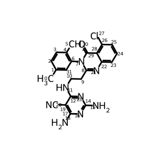 Cc1ccc(C)c(-n2c(CCNc3nc(N)nc(N)c3C#N)nc3cccc(Cl)c3c2=O)c1